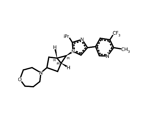 Cc1ncc(-c2cn([C@H]3[C@@H]4CC(N5CCCOCC5)C[C@@H]43)c(C(C)C)n2)cc1C(F)(F)F